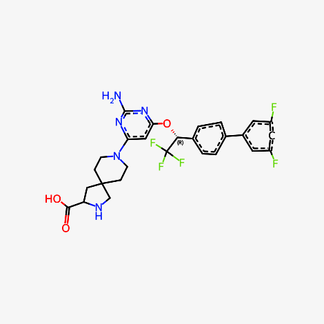 Nc1nc(O[C@H](c2ccc(-c3cc(F)cc(F)c3)cc2)C(F)(F)F)cc(N2CCC3(CC2)CNC(C(=O)O)C3)n1